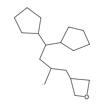 [CH2]C(CC1COC1)CC(C1CCCC1)C1CCCC1